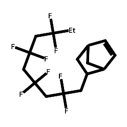 CCC(F)(F)CC(F)(F)CC(F)(F)CC(F)(F)CC1CC2C=CC1C2